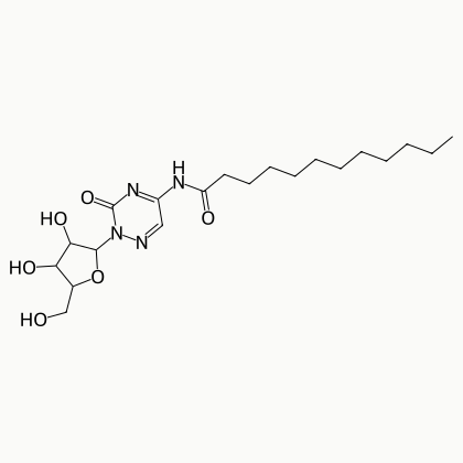 CCCCCCCCCCCC(=O)Nc1cnn(C2OC(CO)C(O)C2O)c(=O)n1